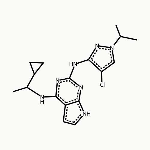 CC(Nc1nc(Nc2nn(C(C)C)cc2Cl)nc2[nH]ccc12)C1CC1